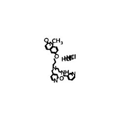 Cl.Cl.Cl.Cn1c(=O)ccc2cc(OCCCN(CCNC(=O)c3cccnc3)Cc3ccncc3)ccc21